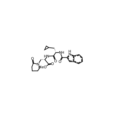 COC(=O)[C@H](CN1CCCCC1=O)NC(=O)[C@H](CC1CC1)NC(=O)c1cc2ccccc2[nH]1